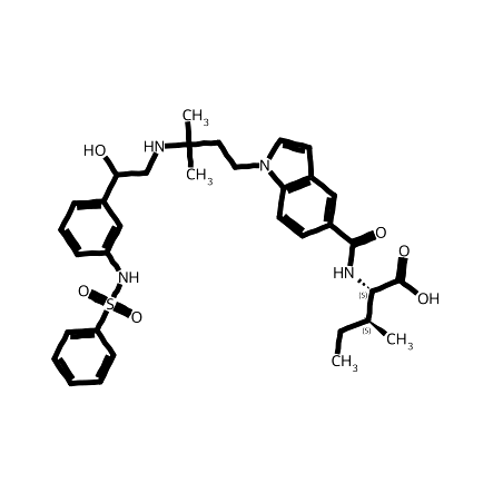 CC[C@H](C)[C@H](NC(=O)c1ccc2c(ccn2CCC(C)(C)NCC(O)c2cccc(NS(=O)(=O)c3ccccc3)c2)c1)C(=O)O